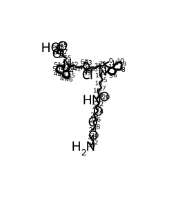 CC1(C)c2c(ccc3ccccc23)N(CCCCCC(=O)NCCOCCOCCOCCN)C1/C=C/C1=C(Cl)C(=C/C=c2\c3cccc4cccc(c43)n2CCCS(=O)(=O)O)/CC1